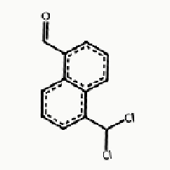 O=Cc1cccc2c(C(Cl)Cl)cccc12